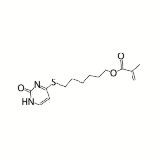 C=C(C)C(=O)OCCCCCCSc1cc[nH]c(=O)n1